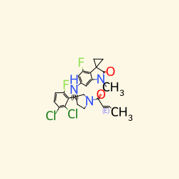 C/C=C/C(=O)N1CC[C@@](Nc2cc(F)c3c(c2)N(C)C(=O)C32CC2)(c2c(F)ccc(Cl)c2Cl)C1